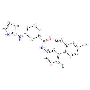 COc1cc(F)ccc1-c1cc(NC(=O)[C@H]2CCC[C@@H](Nc3nccs3)C2)ccc1F